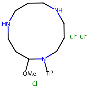 COC1CCNCCCNCCC[N]1[Ti+3].[Cl-].[Cl-].[Cl-]